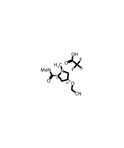 CNC(=O)[C@@H]1C[C@@H](OCC#N)CN1C.O=C(O)C(F)(F)F